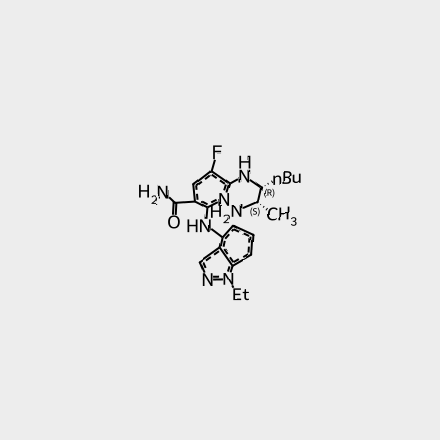 CCCC[C@@H](Nc1nc(Nc2cccc3c2cnn3CC)c(C(N)=O)cc1F)[C@H](C)N